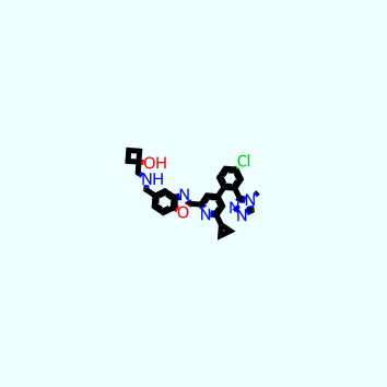 Cn1cnnc1-c1cc(Cl)ccc1-c1cc(-c2nc3cc(CNCC4(O)CCC4)ccc3o2)nc(C2CC2)c1